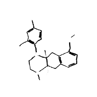 COc1cccc2c1C[C@@H]1[C@@H](C2)N(C)CCN1c1ccc(Cl)cc1C